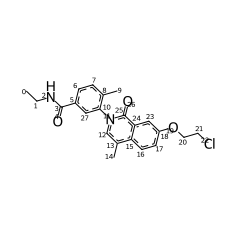 CCNC(=O)c1ccc(C)c(-n2cc(C)c3ccc(OCCCl)cc3c2=O)c1